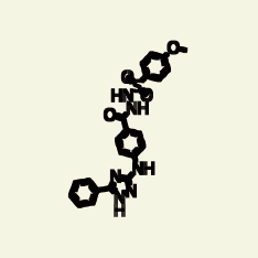 COc1ccc(S(=O)(=O)NNC(=O)c2ccc(Nc3n[nH]c(-c4ccccc4)n3)cc2)cc1